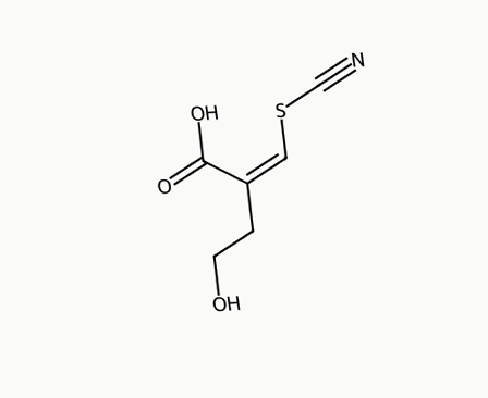 N#CS/C=C(/CCO)C(=O)O